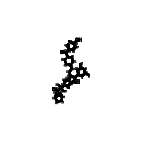 Cc1cc(C)cc(-c2[nH]c3sc(C(C)(C)C(=O)N4C5CCC4CC5)cc3c2CCN2CCN(C(=O)c3ccc(O)nc3)CC2)c1